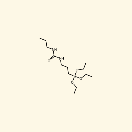 CCCNC(=O)NCCC[Si](OCC)(OCC)OCC